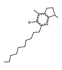 CCCCCCCCCCc1nc2c(c(C)c1Br)CCN2C